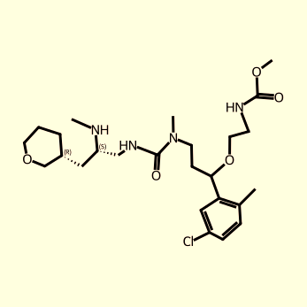 CN[C@H](CNC(=O)N(C)CCC(OCCNC(=O)OC)c1cc(Cl)ccc1C)C[C@H]1CCCOC1